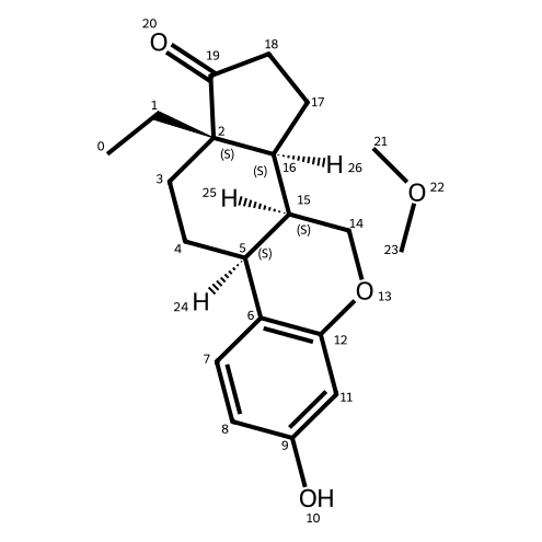 CC[C@]12CC[C@@H]3c4ccc(O)cc4OC[C@@H]3[C@@H]1CCC2=O.COC